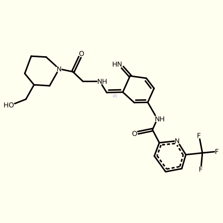 N=C1C=CC(NC(=O)c2cccc(C(F)(F)F)n2)=C/C1=C/NCC(=O)N1CCCC(CO)C1